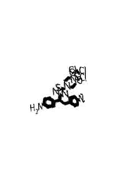 CN(C)c1ccc(CC(c2ccc(N)cc2)c2nsc(N3CCN(S(=O)(=O)C(Cl)(Cl)Cl)CC3)n2)cc1